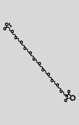 CC(=O)CCOCCOCCOCCOCCOCCOCCOCCOCCOCCOCCOCCOCCN1C(=O)c2ccccc2C1=O